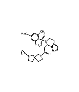 COc1cc(C)c(S(=O)(=O)N2CCn3cccc3C2CC(=O)N2CCC3(CCN(C4CC4)C3)C2)c(C)c1